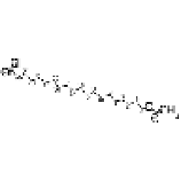 CC(=O)OCCCCCCCCCCCCCCCCCCCC(=O)Cl